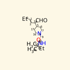 CC/C=C/[C@@H](C=O)C1CCN(CONC(C)(C)CC)CC1